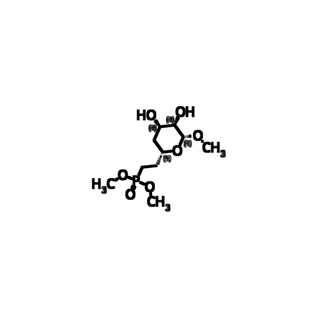 CO[C@@H]1O[C@H](CCP(=O)(OC)OC)C[C@@H](O)[C@H]1O